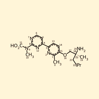 Cc1nc(-c2ccnc(N(C)C(=O)O)n2)ccc1OC[C@@](C)(N)CC(C)C